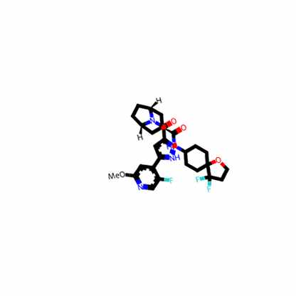 COc1cc(-c2cc(C(=O)N3[C@@H]4CC[C@H]3C[C@H](C(=O)NC3CCC5(CC3)OCCC5(F)F)C4)n[nH]2)c(F)cn1